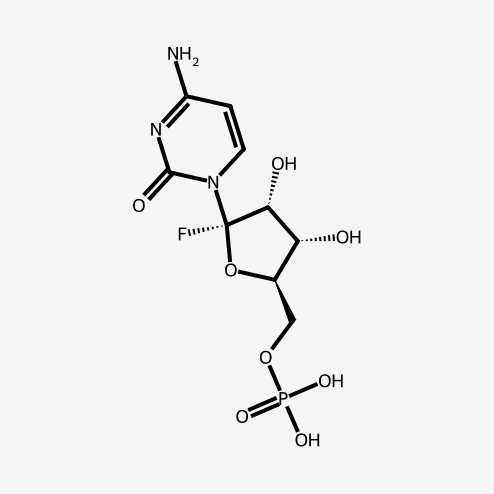 Nc1ccn([C@]2(F)O[C@H](COP(=O)(O)O)[C@@H](O)[C@H]2O)c(=O)n1